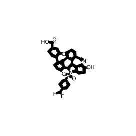 N#Cc1cccc(C#N)c1-c1c(-c2cccc(-c3ccc(C(=O)O)cc3Cl)c2)n(S(=O)(=O)c2ccc(C(F)F)cc2)c2ccc(O)cc12